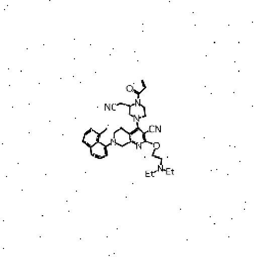 C=CC(=O)N1CCN(c2c(C#N)c(OCCN(CC)CC)nc3c2CCN(c2cccc4cccc(C)c24)C3)CC1CC#N